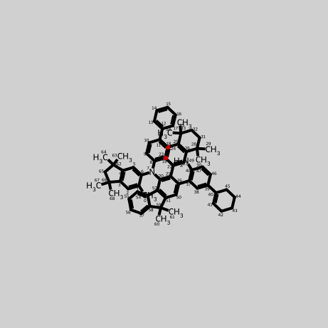 Cc1cc2c(cc1N(c1ccc(-c3ccccc3)cc1)c1c(-c3ccc4c(c3)C(C)(C)CCC4(C)C)c(-c3cc(C4=CCCCC4)ccc3N)cc3c1-c1ccccc1C3(C)C)C(C)(C)CC2(C)C